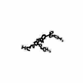 C#CCOc1ccc(-c2nc3cc(C(=O)OC)ccc3[nH]2)c(OCC)c1